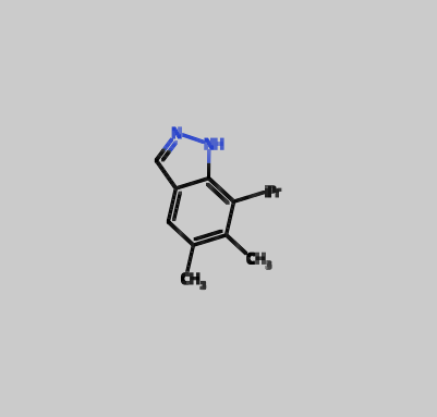 Cc1cc2cn[nH]c2c(C(C)C)c1C